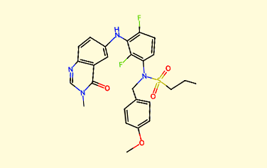 CCCS(=O)(=O)N(Cc1ccc(OC)cc1)c1ccc(F)c(Nc2ccc3ncn(C)c(=O)c3c2)c1F